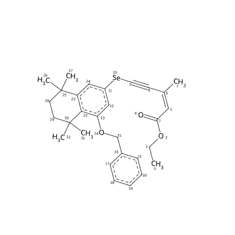 CCOC(=O)C=C(C)C#C[Se]c1cc(OCc2ccccc2)c2c(c1)C(C)(C)CCC2(C)C